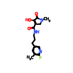 Cc1cc(CCCNC(=O)C2=C(O)C(=O)N(C)C2)cnc1F